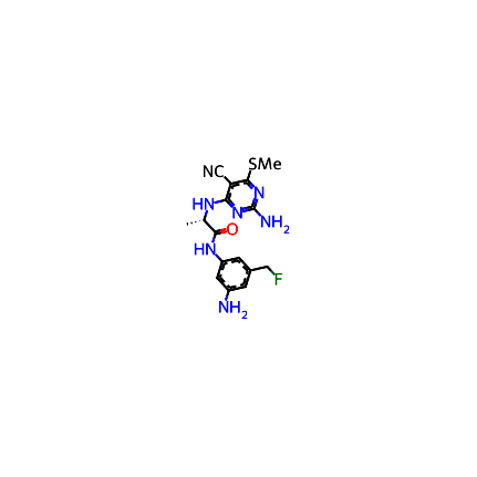 CSc1nc(N)nc(N[C@@H](C)C(=O)Nc2cc(N)cc(CF)c2)c1C#N